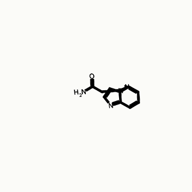 NC(=O)CC1=NN=CC2=CC=CC3=NC=CC231